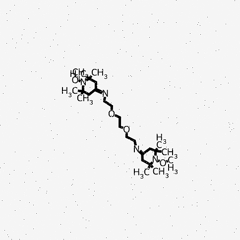 CON1C(C)(C)CC(=NCCOCCOCCN=C2CC(C)(C)N(OC)C(C)(C)C2)CC1(C)C